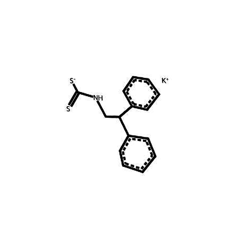 S=C([S-])NCC(c1ccccc1)c1ccccc1.[K+]